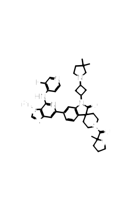 CC(C)n1cnc2cc(-c3ccc4c(c3)N(C3CC(N5CCC(C)(C)C5)C3)C(=O)C43CCN(C(=O)C4(C)CCCO4)CC3)nc(Nc3ccncc3F)c21